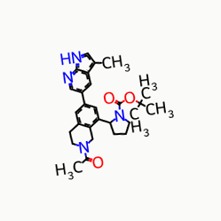 CC(=O)N1CCc2cc(-c3cnc4[nH]cc(C)c4c3)cc(C3CCCN3C(=O)OC(C)(C)C)c2C1